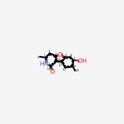 Cc1cc2oc3cc(O)c(C)cc3c2c(=O)[nH]1